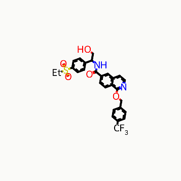 CCS(=O)(=O)c1ccc(C(CO)NC(=O)c2ccc3c(OCc4ccc(C(F)(F)F)cc4)nccc3c2)cc1